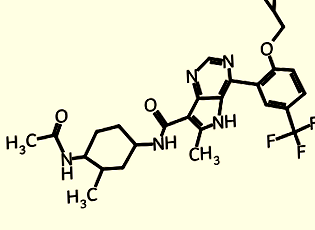 CC(=O)NC1CCC(NC(=O)c2c(C)[nH]c3c(-c4cc(C(F)(F)F)ccc4OCC4CC4)ncnc23)CC1C